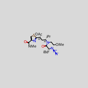 CC[C@H](C)[C@H](N=[N+]=[N-])C(=O)N(CCOC)[C@H](C[C@@H](OC(C)=O)c1nc(C(=O)NC)cs1)C(C)C